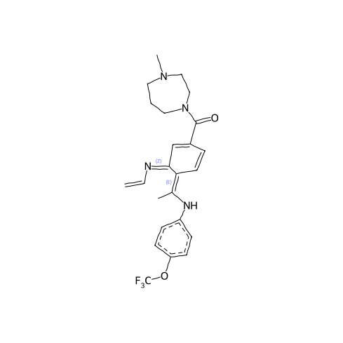 C=C/N=C1/C=C(C(=O)N2CCCN(C)CC2)C=C/C1=C(/C)Nc1ccc(OC(F)(F)F)cc1